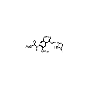 COc1cc2c(OC[C@@H]3CCC(=O)N3)nccc2cc1NC(=O)SC